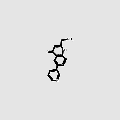 NCc1cc(=O)c2cc(-c3cccnc3)ccc2[nH]1